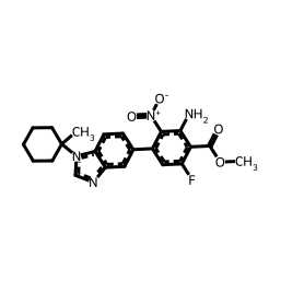 COC(=O)c1c(F)cc(-c2ccc3c(c2)ncn3C2(C)CCCCC2)c([N+](=O)[O-])c1N